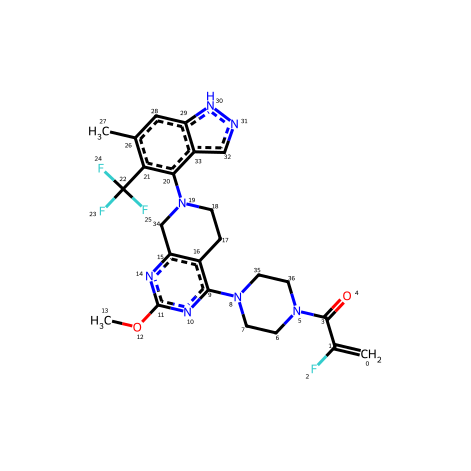 C=C(F)C(=O)N1CCN(c2nc(OC)nc3c2CCN(c2c(C(F)(F)F)c(C)cc4[nH]ncc24)C3)CC1